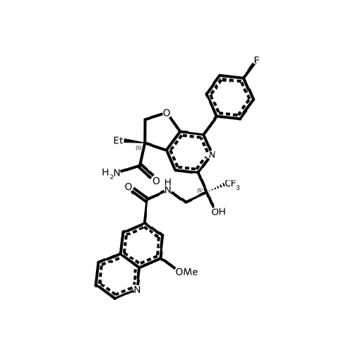 CC[C@@]1(C(N)=O)COc2c1cc([C@@](O)(CNC(=O)c1cc(OC)c3ncccc3c1)C(F)(F)F)nc2-c1ccc(F)cc1